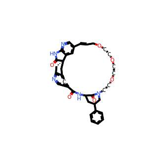 O=C1NC2CC(c3ccccc3)CN(CCOCCOCCOC/C=C/c3cnc4c(c3)[C@@]3(Cc5cc1cnc5C3)C(=O)N4)C2=O